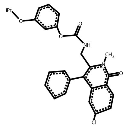 CC(C)Oc1cccc(OC(=O)NCc2c(-c3ccccc3)c3cc(Cl)ccc3c(=O)n2C)c1